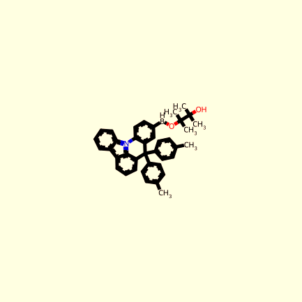 Cc1ccc(C2(c3ccc(C)cc3)c3cc(BOC(C)(C)C(C)(C)O)ccc3-n3c4ccccc4c4cccc2c43)cc1